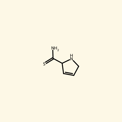 NC(=S)C1C=CCN1